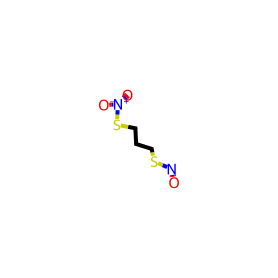 O=NSCCCS[N+](=O)[O-]